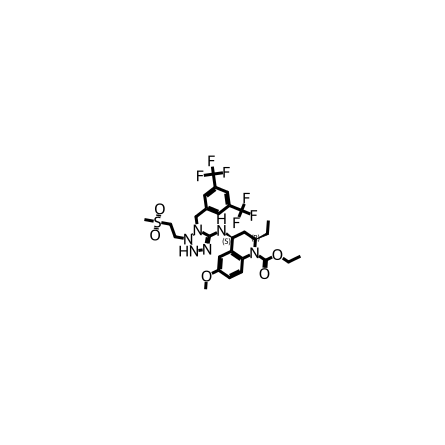 CCOC(=O)N1c2ccc(OC)cc2[C@@H](NC2=NNN(CCS(C)(=O)=O)N2Cc2cc(C(F)(F)F)cc(C(F)(F)F)c2)C[C@H]1CC